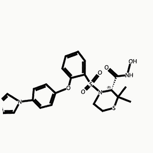 CC1(C)SCCN(S(=O)(=O)c2ccccc2Oc2ccc(-n3ccnc3)cc2)[C@@H]1C(=O)NO